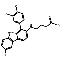 N=C(N)NCCNc1ccc2c([nH]c3ccc(Cl)cc32)c1-c1ccc(Cl)c(Cl)c1